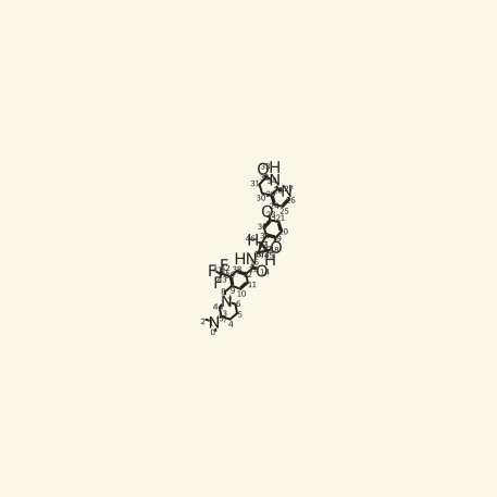 CN(C)[C@H]1CCCN(Cc2ccc(C(=O)N[C@@H]3[C@H]4Oc5ccc(Oc6ccnc7c6CCC(=O)N7)cc5[C@@H]34)cc2C(F)(F)F)C1